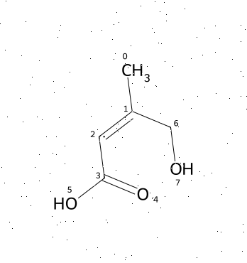 CC(=[C]C(=O)O)CO